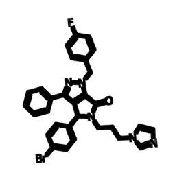 O=C1c2c(c(-c3ccccc3)nn2Cc2ccc(F)cc2)C(c2ccc(Br)cc2)N1CCCn1ccnc1